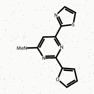 CNc1cc(-c2nccs2)nc(-c2ccco2)n1